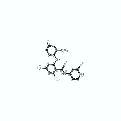 COc1cc(F)ccc1Oc1cc(C(F)(F)F)cc(C(F)(F)F)c1C(=O)Nc1cc[nH]c(=O)c1